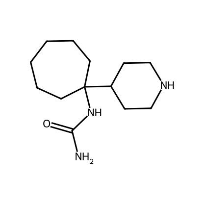 NC(=O)NC1(C2CCNCC2)CCCCCC1